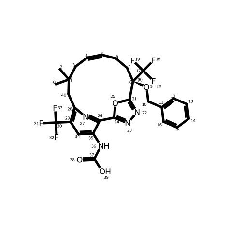 CC1(C)CC=CCC[C@](OCc2ccccc2)(C(F)(F)F)c2nnc(o2)-c2nc(c(C(F)(F)F)cc2NC(=O)O)C1